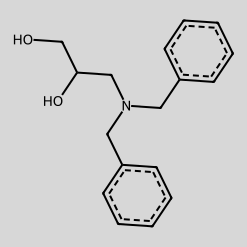 OCC(O)CN(Cc1ccccc1)Cc1ccccc1